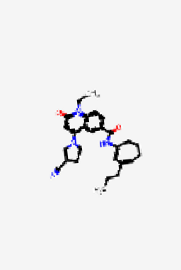 CCCC1=CCCCC(NC(=O)c2ccc3c(c2)c(N2CCC(C#N)C2)cc(=O)n3CC)=C1